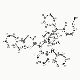 Fc1cccc(-n2c3ccccc3c3cc(N(c4ccc5c(c4)sc4ccccc45)c4cccc5c6ccccc6n(-c6ccccc6)c45)ccc32)c1